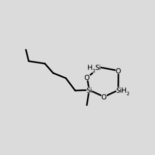 CCCCCC[Si]1(C)O[SiH2]O[SiH2]O1